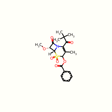 CO[C@@H]1C(=O)N2C(C(=O)C(C)(C)C)=C(C)C(OC(=O)c3ccccc3)S(=O)(=O)[C@H]12